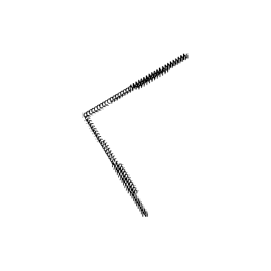 [C].[C].[C].[C].[C].[C].[C].[C].[C].[C].[C].[C].[C].[C].[C].[C].[C].[C].[Cr].[Cr].[Cr].[Cr].[Cr].[Cr].[Cr].[Cr].[Cr].[Cr].[Cr].[Cr].[Cr].[Cr].[Cr].[Cr].[Cr].[Cr].[Mn].[Mn].[Mn].[Mn].[Mn].[Mn].[Mn].[Mn].[Mn].[Mn].[Mn].[Mn].[Mn].[Mn].[Mn].[Mn].[Mn].[Mn].[Mn].[Mn].[Mn].[Mn].[Mn].[Ni].[Ni].[Ni].[Ni].[Ni].[Ni].[Ni].[Ni].[Ni].[Ni].[Ni].[Ni].[Ni].[Ni].[Ni].[Ni].[Ni].[Ni]